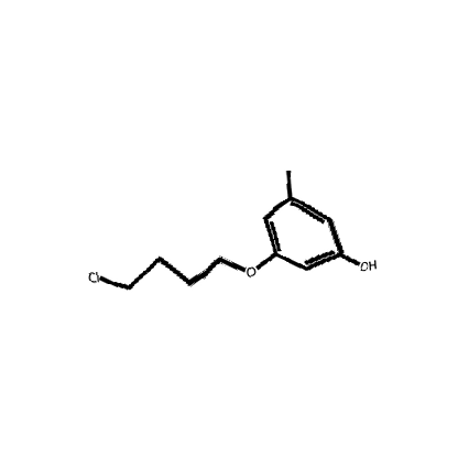 Cc1cc(O)cc(OCCCCCl)c1